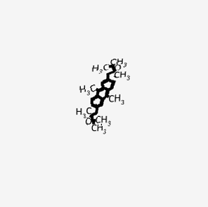 Cc1c2ccc(CC3(C)OC3(C)C)cc2c(C)c2ccc(CC3(C)OC3(C)C)cc12